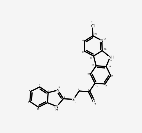 O=C(CSc1nc2ccccc2[nH]1)c1ccc2[nH]c3nc(Cl)ccc3c2c1